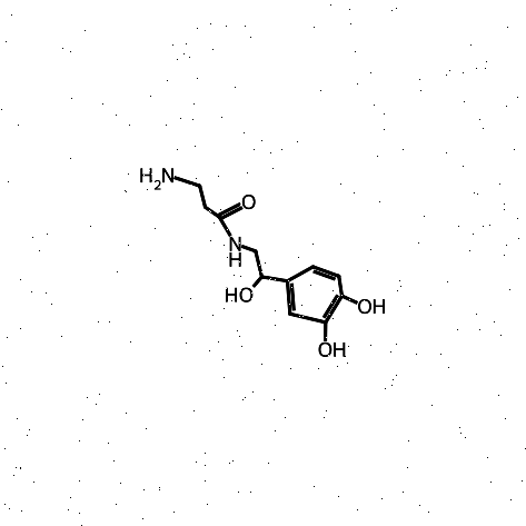 NCCC(=O)NCC(O)c1ccc(O)c(O)c1